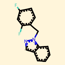 Fc1ccc(Cn2n[c]c3ccccc32)c(F)c1